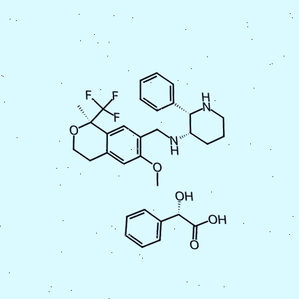 COc1cc2c(cc1CN[C@H]1CCCN[C@H]1c1ccccc1)[C@](C)(C(F)(F)F)OCC2.O=C(O)[C@@H](O)c1ccccc1